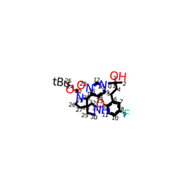 CC(C)(O)CCc1cc(F)ccc1Oc1cncnc1C1N(C(=O)OC(C)(C)C)CCC12CCNC2